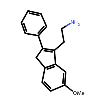 COc1ccc2c(c1)C(CCN)=C(c1ccccc1)C2